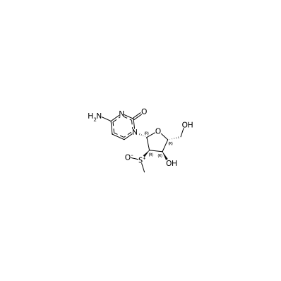 C[S+]([O-])[C@@H]1[C@H](O)[C@@H](CO)O[C@H]1n1ccc(N)nc1=O